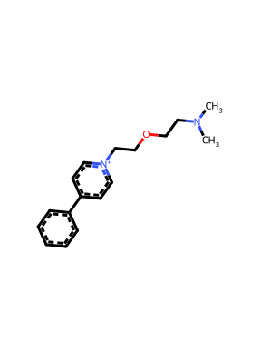 CN(C)CCOCC[n+]1ccc(-c2ccccc2)cc1